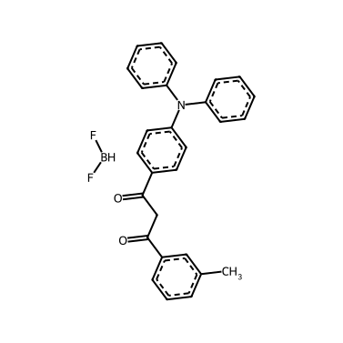 Cc1cccc(C(=O)CC(=O)c2ccc(N(c3ccccc3)c3ccccc3)cc2)c1.FBF